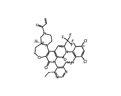 C=CC(=O)N1CCN2c3c(c(=O)n(-c4c(CC)ncnc4CC)c4c(=O)n(C5=C(N)C(Cl)=C[C@H](Cl)C5F)c(C(F)(F)F)cc34)OCC[C@H]2C1